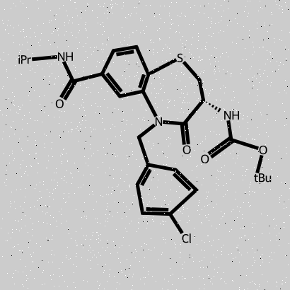 CC(C)NC(=O)c1ccc2c(c1)N(Cc1ccc(Cl)cc1)C(=O)[C@@H](NC(=O)OC(C)(C)C)CS2